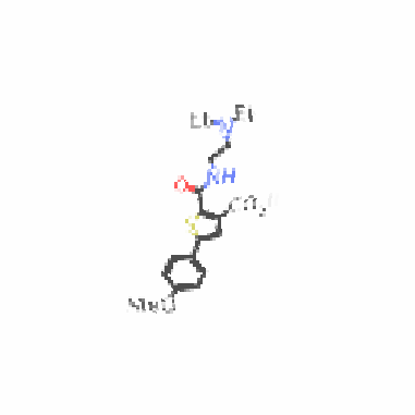 CCN(CC)CCNC(=O)c1sc(-c2ccc(OC)cc2)cc1C(=O)O